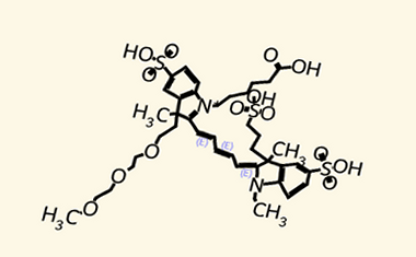 CCN1/C(=C/C=C/C=C/C2=[N+](CCCCCC(=O)O)c3ccc(S(=O)(=O)O)cc3C2(C)CCOCCOCCOC)C(C)(CCCS(=O)(=O)O)c2cc(S(=O)(=O)O)ccc21